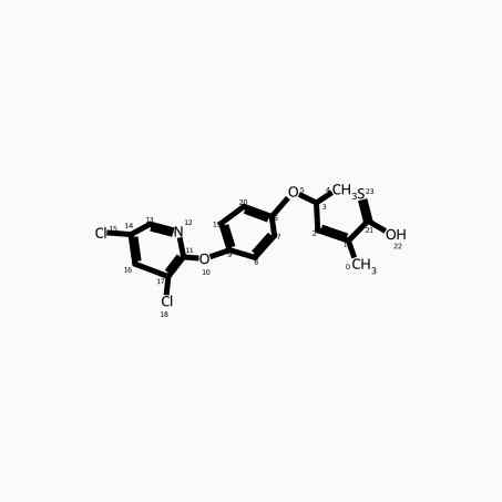 CC(=CC(C)Oc1ccc(Oc2ncc(Cl)cc2Cl)cc1)C(O)=S